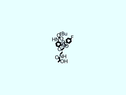 CC(O)C(=O)NCC[C@H]1CN(S(=O)(=O)c2ccc(F)cc2)c2cc(NC(=O)OC(C)(C)C)ccc2O1